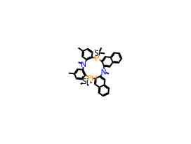 Cc1ccc2c(c1)N(C)c1cc(C)ccc1[PH](C)([Si](C)(C)C)c1cc3ccccc3cc1N(C)c1cc3ccccc3cc1P2[Si](C)(C)C